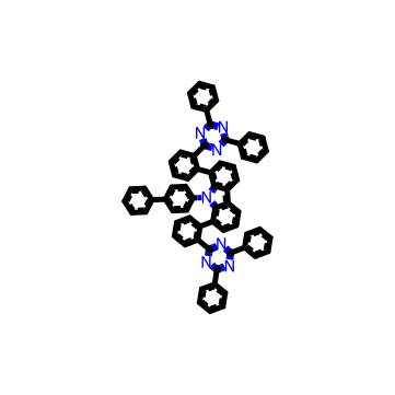 c1ccc(-c2ccc(-n3c4c(-c5ccccc5-c5nc(-c6ccccc6)nc(-c6ccccc6)n5)cccc4c4cccc(-c5ccccc5-c5nc(-c6ccccc6)nc(-c6ccccc6)n5)c43)cc2)cc1